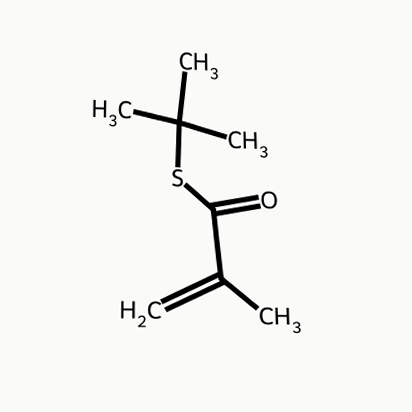 C=C(C)C(=O)SC(C)(C)C